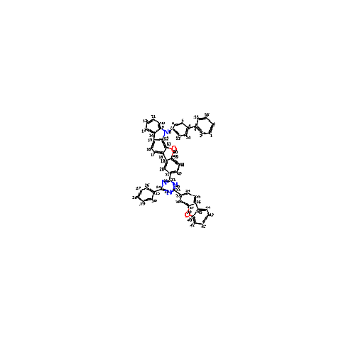 c1ccc(-c2ccc(-n3c4ccccc4c4ccc5c6cc(-c7nc(-c8ccccc8)nc(-c8ccc9c(c8)oc8ccccc89)n7)ccc6oc5c43)cc2)cc1